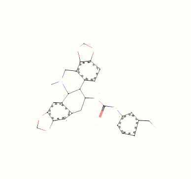 CN1Cc2c(ccc3c2OCO3)C2C(OC(=O)Nc3cccc(CF)c3)Cc3cc4c(cc3C21)OCO4